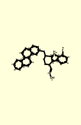 ON=CC1CCC(Cc2ccc3ccc4c5ccccc5ccc4c3c2)c2[nH]c3c(F)cccc3c21